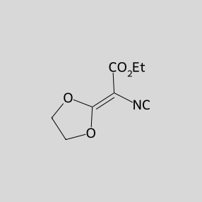 [C-]#[N+]C(C(=O)OCC)=C1OCCO1